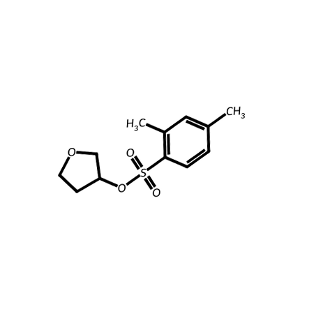 Cc1ccc(S(=O)(=O)OC2CCOC2)c(C)c1